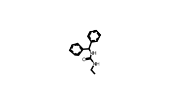 CCNC(=O)NC(c1ccccc1)c1ccccc1